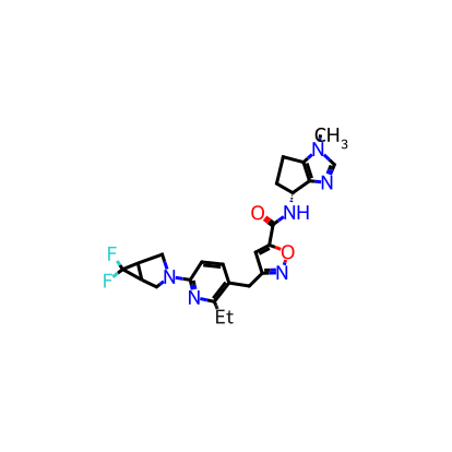 CCc1nc(N2CC3C(C2)C3(F)F)ccc1Cc1cc(C(=O)N[C@@H]2CCc3c2ncn3C)on1